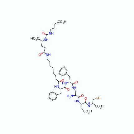 N[C@@H](CNC(=O)[C@H](Cc1ccccc1)NC(=O)[C@H](Cc1ccccc1)NC(=O)CCCCCCCNC(=O)CC[C@H](NC(=O)NCCCC(=O)O)C(=O)O)C(=O)N[C@@H](CC(=O)O)C(=O)N[C@@H](CS)C(=O)O